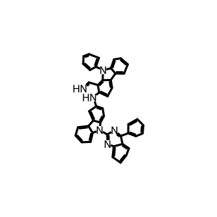 N=Cc1c(Nc2ccc3c(c2)c2ccccc2n3-c2nc(-c3ccccc3)c3ccccc3n2)ccc2c3ccccc3n(-c3ccccc3)c12